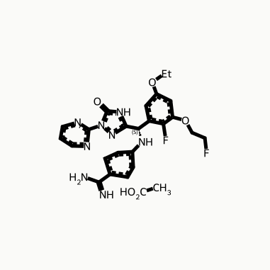 CC(=O)O.CCOc1cc(OCCF)c(F)c([C@H](Nc2ccc(C(=N)N)cc2)c2nn(-c3ncccn3)c(=O)[nH]2)c1